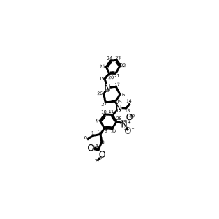 CCC(CC(=O)OC)c1ccc(N(CC)C2CCN(Cc3ccccc3)CC2)c([N+](=O)[O-])c1